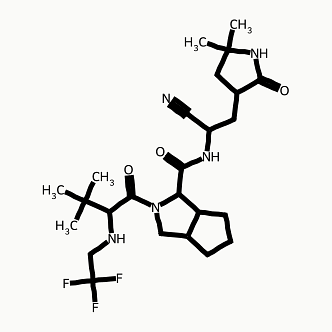 CC1(C)CC(CC(C#N)NC(=O)C2C3CCCC3CN2C(=O)C(NCC(F)(F)F)C(C)(C)C)C(=O)N1